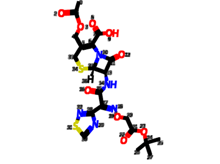 CC(=O)OCC1=C(C(=O)O)N2C(=O)[C@@H](NC(=O)C(=NOCC(=O)OC(C)(C)C)c3ncsn3)[C@H]2SC1